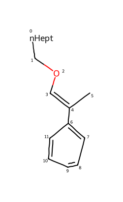 CCCCCCCCOC=C(C)c1ccccc1